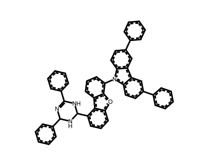 c1ccc(C2=NC(c3ccccc3)NC(c3cccc4oc5c(-n6c7ccc(-c8ccccc8)cc7c7cc(-c8ccccc8)ccc76)cccc5c34)N2)cc1